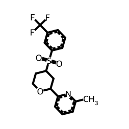 Cc1cccc(C2CC(S(=O)(=O)c3cccc(C(F)(F)F)c3)CCO2)n1